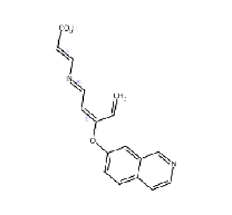 C=C\C(=C/C=N/C=C/C(=O)O)Oc1ccc2ccncc2c1